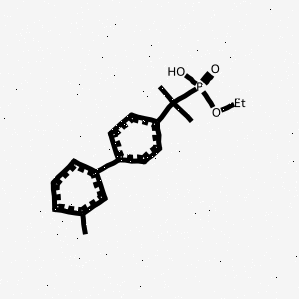 CCOP(=O)(O)C(C)(C)c1ccc(-c2cccc(C)c2)cc1